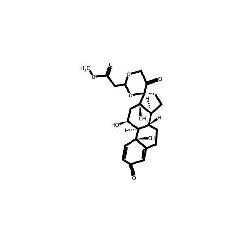 COC(=O)CC1OCC(=O)[C@]2(CC[C@H]3[C@@H]4CCC5=CC(=O)C=C[C@]5(C)[C@H]4[C@@H](O)C[C@@]32C)O1